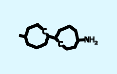 CC1CCCC(C2CCCC(N)CCC2)CCC1